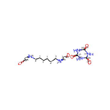 O=C=NCCCCCCN=C=O.O=c1[nH]c(=O)[nH]c(=O)[nH]1